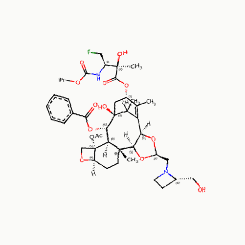 CC(=O)O[C@@]12CO[C@@H]1CC[C@@]1(C)[C@@H]3O[C@H](CN4CC[C@H]4CO)O[C@@H]3C3=C(C)[C@@H](OC(=O)[C@](C)(O)[C@H](CF)NC(=O)OC(C)C)C[C@@](O)([C@@H](OC(=O)c4ccccc4)[C@@H]12)C3(C)C